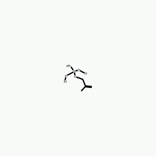 C=C(C)CO[Si](CCC)(OCC)OCC